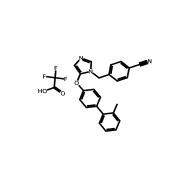 Cc1ccccc1-c1ccc(Oc2cncn2Cc2ccc(C#N)cc2)cc1.O=C(O)C(F)(F)F